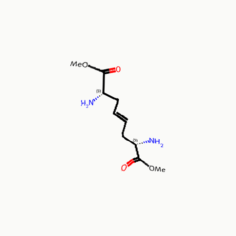 COC(=O)[C@@H](N)CC=CC[C@H](N)C(=O)OC